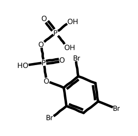 O=P(O)(O)OP(=O)(O)Oc1c(Br)cc(Br)cc1Br